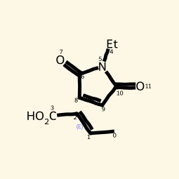 C/C=C/C(=O)O.CCN1C(=O)C=CC1=O